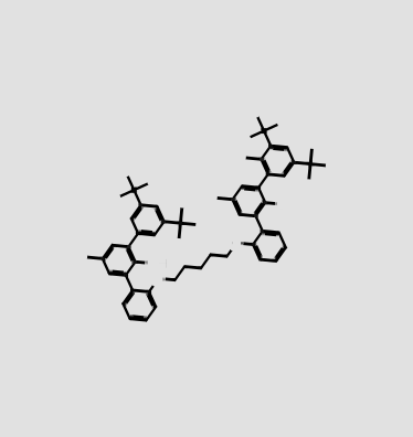 Cc1cc(-c2cc(C(C)(C)C)cc(C(C)(C)C)c2)c(O)c(-c2ccccc2OCCCCCOc2ccccc2-c2cc(C)cc(-c3cc(C(C)(C)C)cc(C(C)(C)C)c3C)c2O)c1